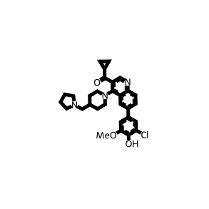 COc1cc(-c2ccc3ncc(C(=O)C4CC4)c(N4CCC(CN5CCCC5)CC4)c3c2)cc(Cl)c1O